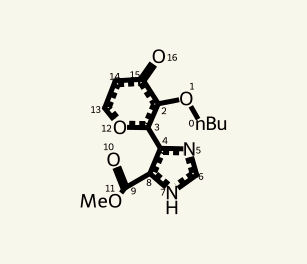 CCCCOc1c(-c2nc[nH]c2C(=O)OC)occc1=O